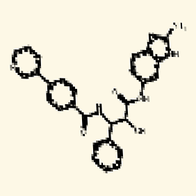 Nc1nc2ccc(NC(=O)C(O)C(NC(=O)c3ccc(-c4cccnc4)cc3)c3ccccc3)cc2[nH]1